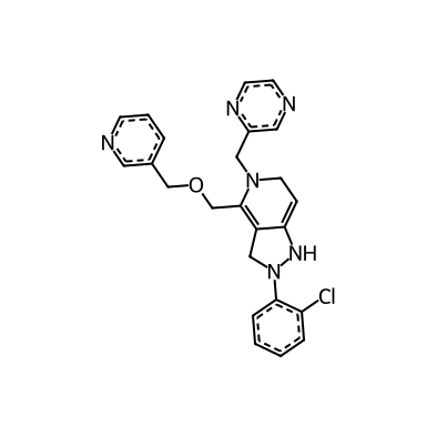 Clc1ccccc1N1CC2=C(COCc3cccnc3)N(Cc3cnccn3)CC=C2N1